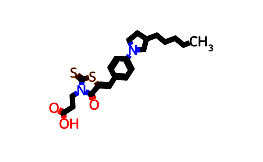 CCCCCC1CCN(c2ccc(/C=C3\SC(=S)N(CCC(=O)O)C3=O)cc2)C1